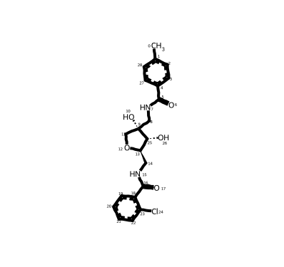 Cc1ccc(C(=O)NC[C@]2(O)CO[C@H](CNC(=O)c3ccccc3Cl)[C@H]2O)cc1